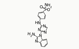 Nc1nc2ccccc2n1-c1ncnc(Nc2ccc(S(N)(=O)=O)cc2)n1